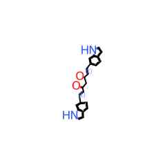 O=C(/C=C/c1ccc2cc[nH]c2c1)CC(=O)/C=C/c1ccc2cc[nH]c2c1